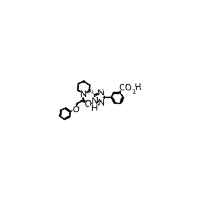 O=C(O)c1cccc(-c2n[nH]c([C@H]3CCCCN3C(=O)COc3ccccc3)n2)c1